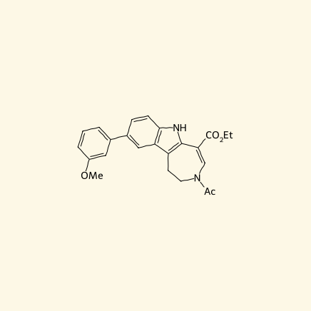 CCOC(=O)C1=CN(C(C)=O)CCc2c1[nH]c1ccc(-c3cccc(OC)c3)cc21